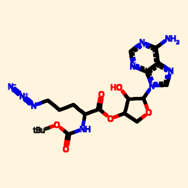 CC(C)(C)OC(=O)NC(CCCN=[N+]=[N-])C(=O)OC1COC(n2cnc3c(N)ncnc32)C1O